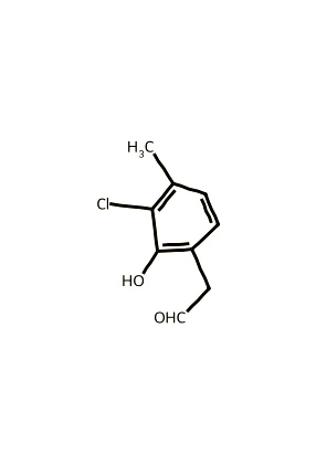 Cc1ccc(CC=O)c(O)c1Cl